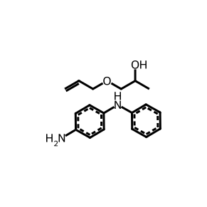 C=CCOCC(C)O.Nc1ccc(Nc2ccccc2)cc1